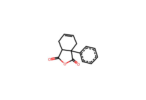 O=C1OC(=O)C2(c3ccccc3)CC=CCC12